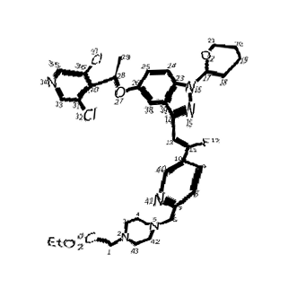 CCOC(=O)CN1CCN(Cc2ccc(/C(F)=C/c3nn(C4CCCCO4)c4ccc(O[C@H](C)c5c(Cl)cncc5Cl)cc34)cn2)CC1